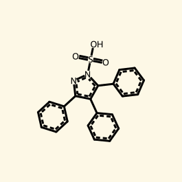 O=S(=O)(O)n1nc(-c2ccccc2)c(-c2ccccc2)c1-c1ccccc1